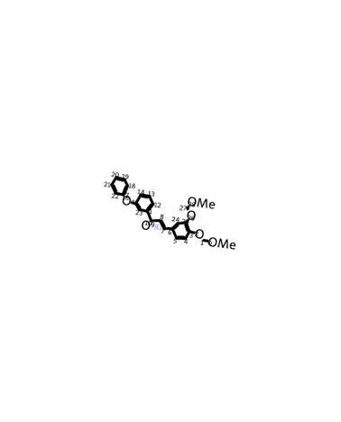 COCOc1ccc(/C=C/C(=O)c2cccc(Oc3ccccc3)c2)cc1OCOC